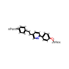 CCCCCCOc1ccc(-c2ccc(CCc3ccc(CCCCC)cc3)cn2)cc1